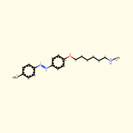 CCCCc1ccc(N=Nc2ccc(OCCCCCCNCCC)cc2)cc1